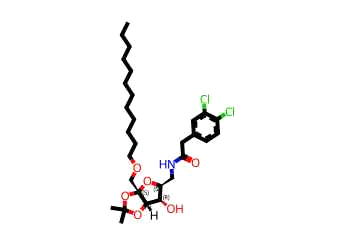 CCCCCCCCCCCCOC[C@@]12O[C@@H](CNC(=O)Cc3ccc(Cl)c(Cl)c3)[C@@H](O)[C@@H]1OC(C)(C)O2